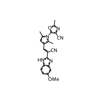 COc1ccc2[nH]c(C(C#N)=Cc3cc(C)n(-c4oc(C)nc4C#N)c3C)nc2c1